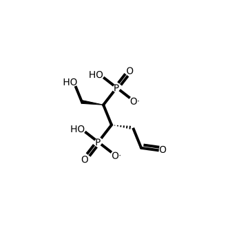 [O]P(=O)(O)[C@H](CO)[C@H](CC=O)P([O])(=O)O